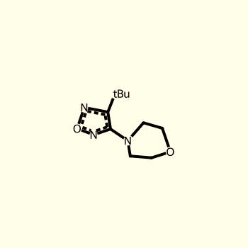 CC(C)(C)c1nonc1N1CCOCC1